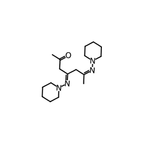 CC(=O)CC(CC(C)=NN1CCCCC1)=NN1CCCCC1